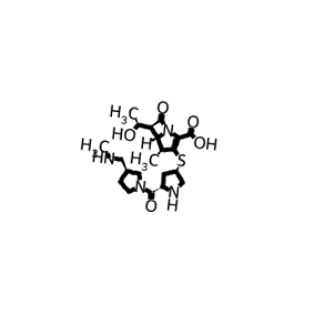 CNC[C@@H]1CCN(C(=O)[C@@H]2C[C@H](SC3=C(C(=O)O)N4C(=O)[C@H]([C@@H](C)O)[C@H]4[C@H]3C)CN2)C1